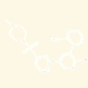 CN1CCN(S(=O)(=O)c2cccc(-c3cnc(N)c(-c4cccnc4C=O)c3)c2)CC1